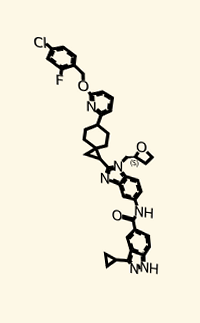 O=C(Nc1ccc2c(c1)nc(C1CC13CCC(c1cccc(OCc4ccc(Cl)cc4F)n1)CC3)n2C[C@@H]1CCO1)c1ccc2[nH]nc(C3CC3)c2c1